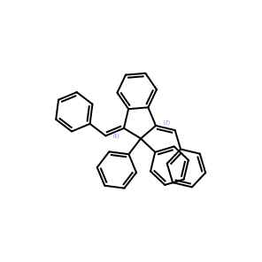 C(=C1\c2ccccc2/C(=C\c2ccccc2)C1(c1ccccc1)c1ccccc1)/c1ccccc1